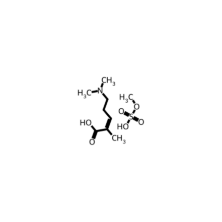 CC(=CCCN(C)C)C(=O)O.COS(=O)(=O)O